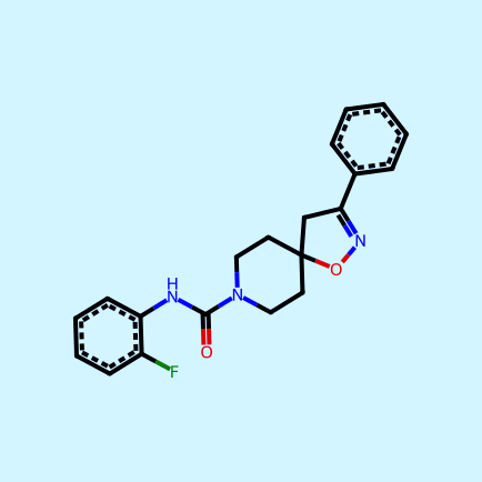 O=C(Nc1ccccc1F)N1CCC2(CC1)CC(c1ccccc1)=NO2